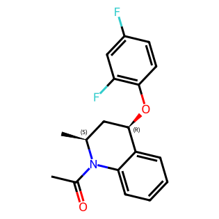 CC(=O)N1c2ccccc2[C@H](Oc2ccc(F)cc2F)C[C@@H]1C